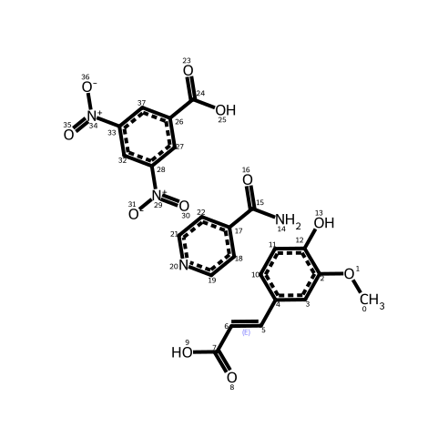 COc1cc(/C=C/C(=O)O)ccc1O.NC(=O)c1ccncc1.O=C(O)c1cc([N+](=O)[O-])cc([N+](=O)[O-])c1